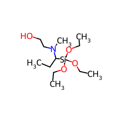 CCO[Si](OCC)(OCC)C(CC)N(C)CCO